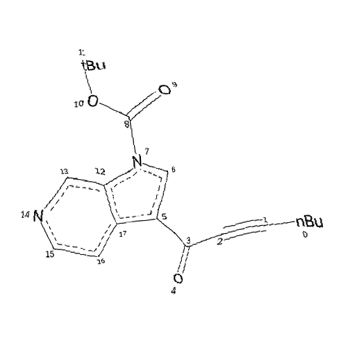 CCCCC#CC(=O)c1cn(C(=O)OC(C)(C)C)c2cnccc12